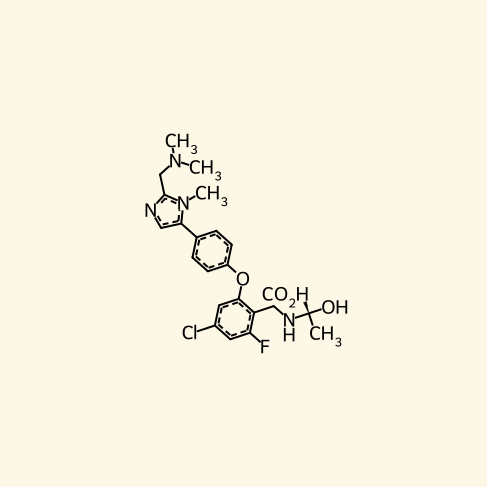 CN(C)Cc1ncc(-c2ccc(Oc3cc(Cl)cc(F)c3CN[C@@](C)(O)C(=O)O)cc2)n1C